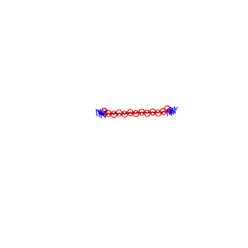 [N-]=[N+]=NC(=O)COCCOCCOCCOCCOCCOCCOCCOCCOCCOCCOCC(=O)N=[N+]=[N-]